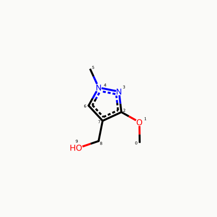 COc1nn(C)cc1CO